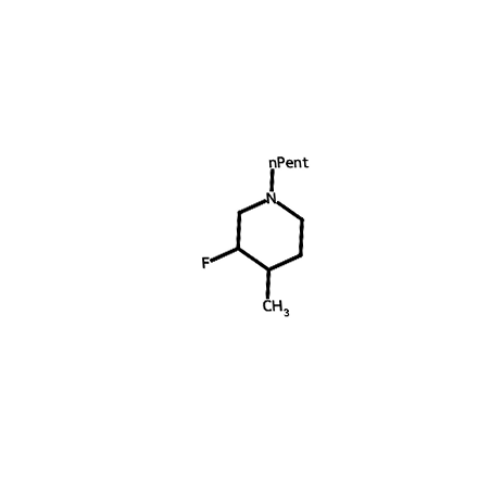 CCCCCN1CCC(C)C(F)C1